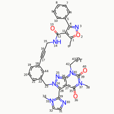 Cc1onc(-c2ccccc2)c1C(=O)NCC#Cc1cccc(Cn2nc3c(c2-c2nccn2C)c(=O)n(C)c(=O)n3CC(C)C)c1